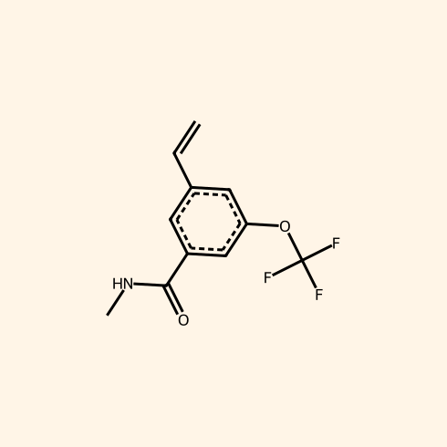 C=Cc1cc(OC(F)(F)F)cc(C(=O)NC)c1